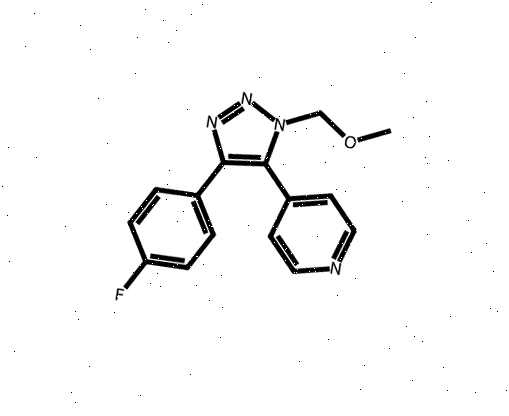 COCn1nnc(-c2ccc(F)cc2)c1-c1ccncc1